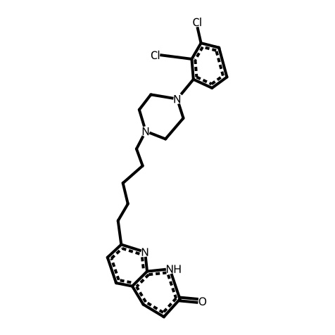 O=c1ccc2ccc(CCCCCN3CCN(c4cccc(Cl)c4Cl)CC3)nc2[nH]1